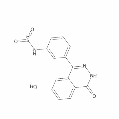 Cl.O=c1[nH]nc(-c2cccc(N[SH](=O)=O)c2)c2ccccc12